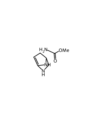 C1=C2NCC(C1)N2.COC(N)=O